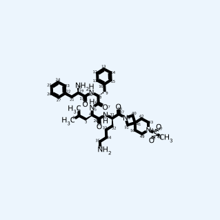 CC(C)C[C@@H](NC(=O)[C@@H](Cc1ccccc1)NC(=O)[C@H](N)Cc1ccccc1)C(=O)N[C@H](CCCCN)C(=O)N1CC2(CCN(S(C)(=O)=O)CC2)C1